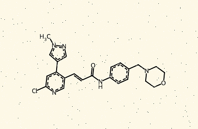 Cn1cc(-c2cc(Cl)ncc2C=CC(=O)Nc2ccc(CN3CCOCC3)cc2)cn1